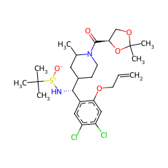 C=CCOc1cc(Cl)c(Cl)cc1[C@H](N[S+]([O-])C(C)(C)C)C1CCN(C(=O)[C@H]2COC(C)(C)O2)C(C)C1